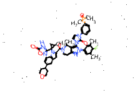 Cc1cc(-n2nc3c(c2-n2ccn(-c4cccc(P(C)(C)=O)c4)c2=O)C(C)N(C(=O)c2cc4cc(C5CCOCC5)ccc4n2C2(c4noc(=O)[nH]4)CC2C)CC3)cc(C)c1F